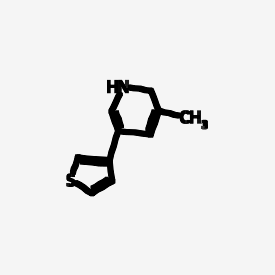 CC1=CC(c2ccsc2)=CNC1